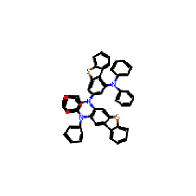 C1=CC(N(c2ccccc2)c2cc3c(cc2N(c2ccccc2)c2cc(N(c4ccccc4)c4ccccc4)c4c(c2)sc2ccccc24)sc2ccccc23)=CCC1